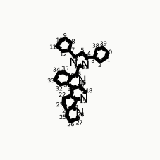 c1ccc(-c2cc(-c3ccccc3)nc(-c3nc4cnc5c(ccc6cccnc65)c4c4ccccc34)n2)cc1